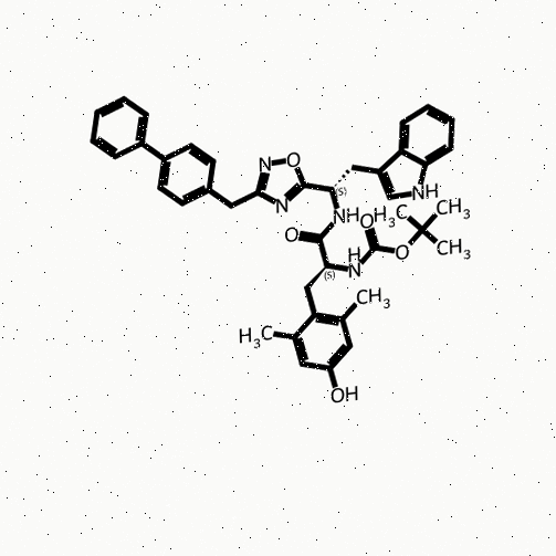 Cc1cc(O)cc(C)c1C[C@H](NC(=O)OC(C)(C)C)C(=O)N[C@@H](Cc1c[nH]c2ccccc12)c1nc(Cc2ccc(-c3ccccc3)cc2)no1